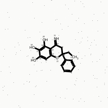 CCC1(c2ccccc2)CC(=N)c2c(cc(O)c(O)c2O)O1